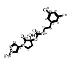 CC(C)n1cc(N2CC[C@](O)(OC(=O)NCCc3cc(F)cc(Cl)c3)C2=O)cn1